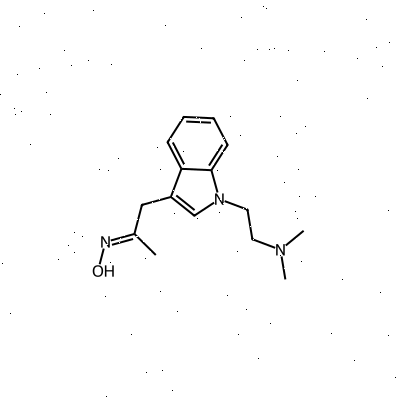 C/C(Cc1cn(CCN(C)C)c2ccccc12)=N\O